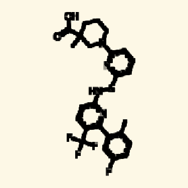 Cc1ccc(F)cc1-c1nc(NSc2cccc(N3CCCC(C)(C(=O)O)C3)n2)ccc1C(F)(F)F